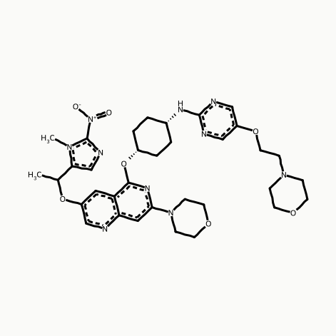 CC(Oc1cnc2cc(N3CCOCC3)nc(O[C@H]3CC[C@@H](Nc4ncc(OCCN5CCOCC5)cn4)CC3)c2c1)c1cnc([N+](=O)[O-])n1C